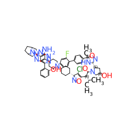 CC(C)[C@@H](C(=O)N1C[C@H](O)C[C@H]1C1=NO[C@@](C)(c2ccc(-c3ccccc3F)cc2)N1)c1onc([C@H]2CC[C@@H](N3CCC(c4cnc(N5C6CCC5CN(c5cc(-c7ccccc7O)nnc5N)C6)nc4)CC3)CC2)c1Cl